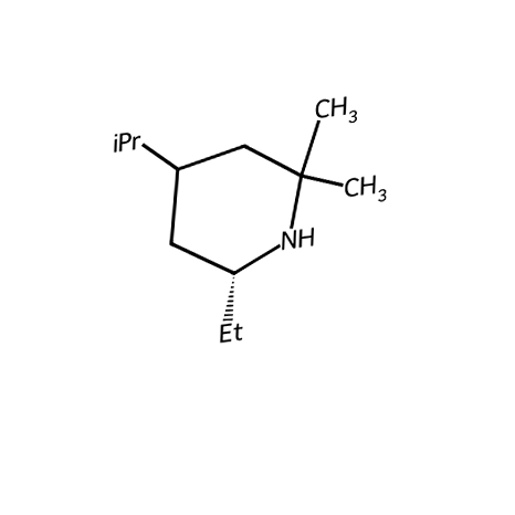 CC[C@@H]1CC(C(C)C)CC(C)(C)N1